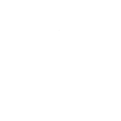 C=C=CCCCC=CCCCC